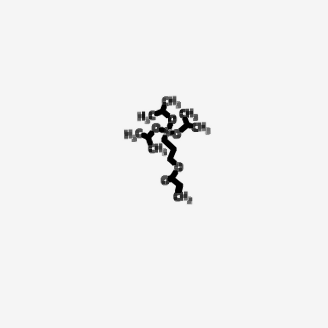 C=CC(=O)OCCC[Si](OC(C)C)(OC(C)C)OC(C)C